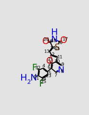 Nc1c(F)cc(-c2cncc3cc(/C=C4\SC(=O)NC4=O)oc23)cc1F